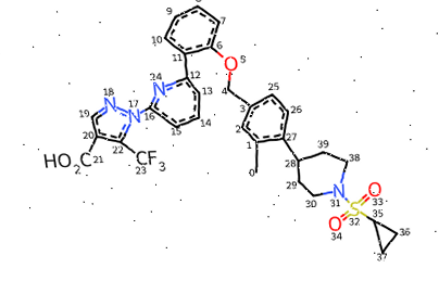 Cc1cc(COc2ccccc2-c2cccc(-n3ncc(C(=O)O)c3C(F)(F)F)n2)ccc1C1CCN(S(=O)(=O)C2CC2)CC1